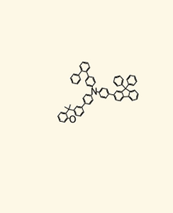 CC1(C)c2ccccc2Oc2ccc(-c3ccc(N(c4ccc(-c5ccc6c(c5)C(c5ccccc5)(c5ccccc5)c5ccccc5-6)cc4)c4ccc(-c5ccccc5-c5ccccc5)cc4)cc3)cc21